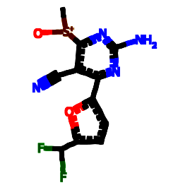 C[S+]([O-])c1nc(N)nc(-c2ccc(C(F)F)o2)c1C#N